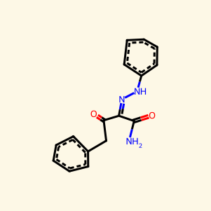 NC(=O)C(=NNc1ccccc1)C(=O)Cc1ccccc1